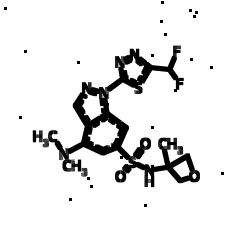 CN(C)c1cc(S(=O)(=O)NC2(C)COC2)cc2c1cnn2-c1nnc(C(F)F)s1